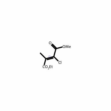 CCOC(=O)/C(C)=C(\Cl)C(=O)OC